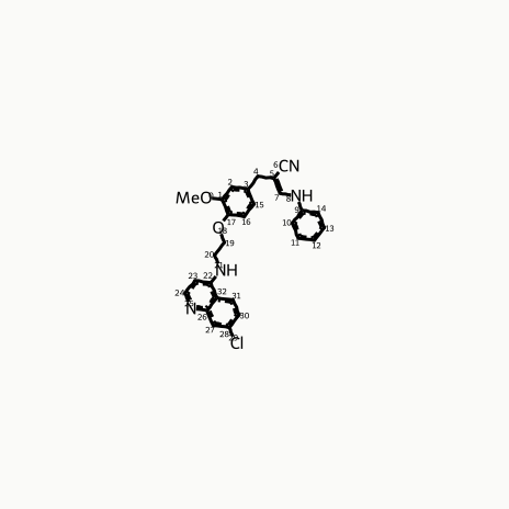 COc1cc(CC(C#N)=CNc2ccccc2)ccc1OCCNc1ccnc2cc(Cl)ccc12